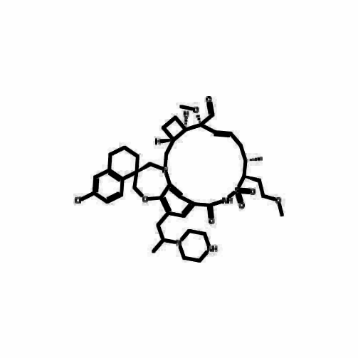 COCC[C@@H]1[C@@H](C)C/C=C/[C@@](C=O)(OC)[C@@H]2CC[C@H]2CN2C[C@@]3(CCCc4cc(Cl)ccc43)COc3c(CC(C)N4CCNCC4)cc(cc32)C(=O)NS1(=O)=O